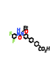 CCC1CN(C(=O)Nc2cc(F)cc(F)c2)c2ccc(-c3ccc([C@H]4CC[C@H](CC(=O)O)CC4)cc3)cc2O1